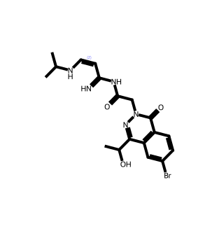 CC(C)N/C=C\C(=N)NC(=O)Cn1nc(C(C)O)c2cc(Br)ccc2c1=O